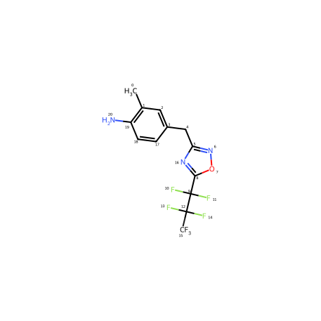 Cc1cc(Cc2noc(C(F)(F)C(F)(F)C(F)(F)F)n2)ccc1N